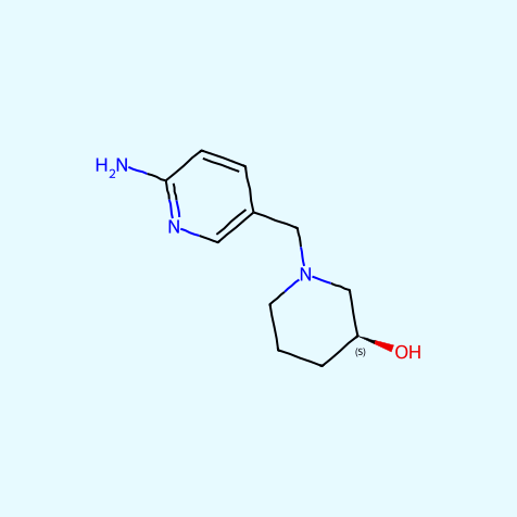 Nc1ccc(CN2CCC[C@H](O)C2)cn1